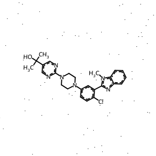 Cn1c(-c2cc(N3CCN(c4ncc(C(C)(C)O)cn4)CC3)ccc2Cl)nc2ccccc21